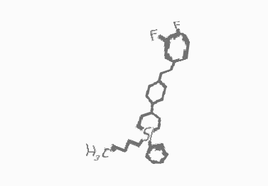 CCCCC[Si]1(c2ccccc2)CCC(C2CCC(CCc3ccc(F)c(F)c3)CC2)CC1